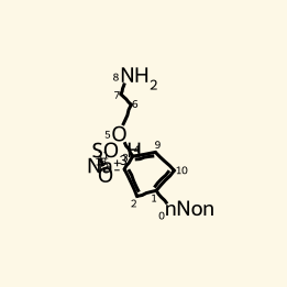 CCCCCCCCCc1ccc(OCCN)cc1.O=S(=O)([O-])O.[Na+]